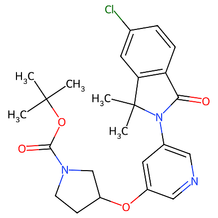 CC(C)(C)OC(=O)N1CCC(Oc2cncc(N3C(=O)c4ccc(Cl)cc4C3(C)C)c2)C1